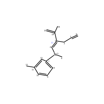 C=CC/C(=C\N(C)c1cccc(C)c1)C(=C)C